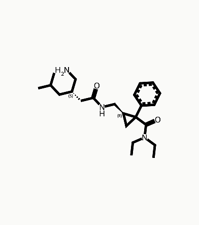 CCN(CC)C(=O)C1(c2ccccc2)C[C@H]1CNC(=O)C[C@@H](CN)CC(C)C